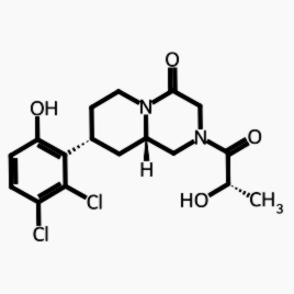 C[C@H](O)C(=O)N1CC(=O)N2CC[C@@H](c3c(O)ccc(Cl)c3Cl)C[C@H]2C1